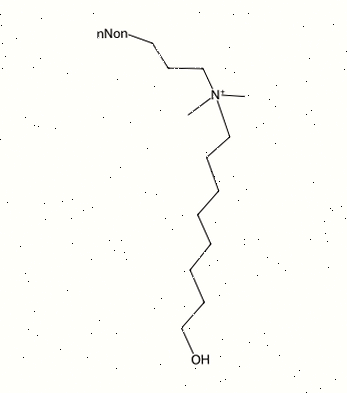 CCCCCCCCCCCC[N+](C)(C)CCCCCCCCO